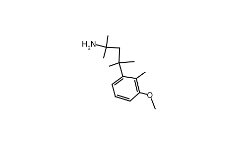 COc1cccc(C(C)(C)CC(C)(C)N)c1C